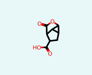 O=C(O)C1CC2C3OC(=O)C1C23